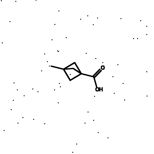 [CH2]C12CC(C(=O)O)(C1)C2